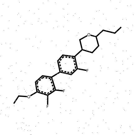 CCCC1CCC(c2ccc(-c3ccc(OCC)c(F)c3F)cc2F)CO1